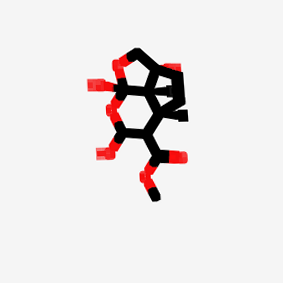 COC(=O)C1C(O)O[C@]2(O)OC[C@]3(O)C=C[C@H]1[C@H]23